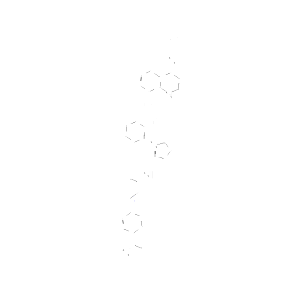 Cc1cc(N2CCOCC2)c2cccc(OCc3c(Cl)ccc(-n4cccc4CNC(=O)/C=C/c4ccc(C(=O)N(C)C)cc4)c3Cl)c2n1